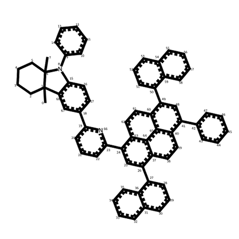 CC12CCCCC1(C)N(c1ccccc1)c1ccc(-c3cccc(-c4cc(-c5cccc6ccccc56)c5ccc6c(-c7ccccc7)cc(-c7cccc8ccccc78)c7ccc4c5c67)n3)cc12